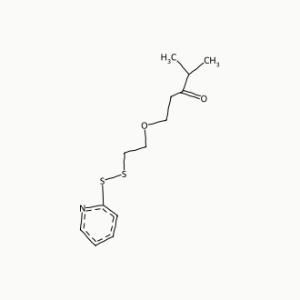 CC(C)C(=O)CCOCCSSc1ccccn1